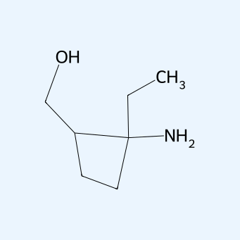 CCC1(N)CCC1CO